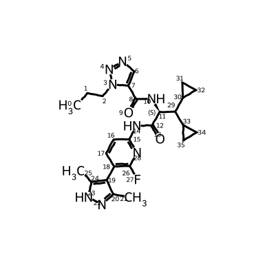 CCCn1nncc1C(=O)N[C@H](C(=O)Nc1ccc(-c2c(C)n[nH]c2C)c(F)n1)C(C1CC1)C1CC1